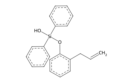 C=CCc1ccccc1O[Si](O)(c1ccccc1)c1ccccc1